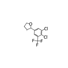 FC(F)(F)c1cc(C2[CH]CCO2)cc(Cl)c1Cl